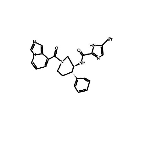 CC(C)c1cnc(C(=O)N[C@@H]2CN(C(=O)c3cccn4cncc34)CC[C@H]2c2ccccc2)[nH]1